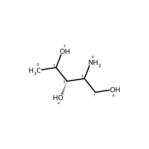 CC(O)[C@@H](O)C(N)CO